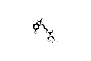 CCN(CC)C(=S)OCCCn1c(=O)sc2ccc(Cl)cc21